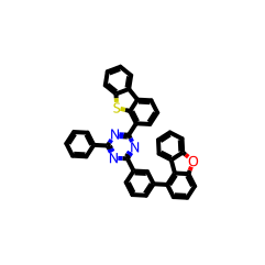 c1ccc(-c2nc(-c3cccc(-c4cccc5oc6ccccc6c45)c3)nc(-c3cccc4c3sc3ccccc34)n2)cc1